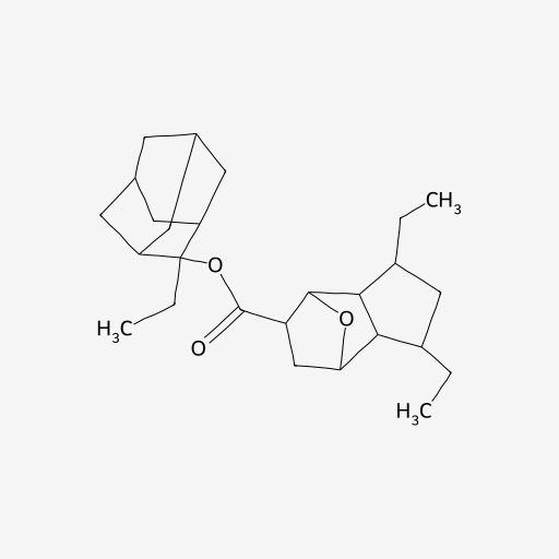 CCC1CC(CC)C2C3OC(CC3C(=O)OC3(CC)C4CC5CC(C4)CC3C5)C12